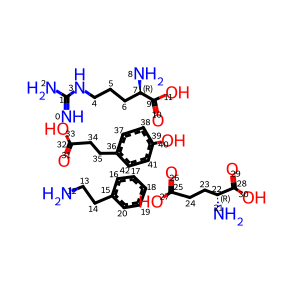 N=C(N)NCCC[C@@H](N)C(=O)O.NCCc1ccccc1.N[C@H](CCC(=O)O)C(=O)O.O=C(O)CCc1ccc(O)cc1